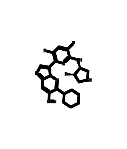 COc1cc2ncc(-c3nc(N[C@H]4CNC[C@@H]4F)c(F)cc3F)n2nc1C1CCCCC1